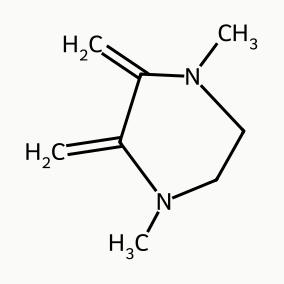 C=C1C(=C)N(C)CCN1C